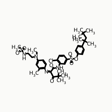 CCN(CCNS(C)(=O)=O)c1ccc(N=C(C(=O)Nc2cc(S(=O)(=O)Oc3ccc(C(C)(C)CC(C)(C)C)cc3)ccc2Cl)C(=O)C(C)(C)C)c(C)c1